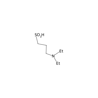 CCN(CC)CCCS(=O)(=O)O